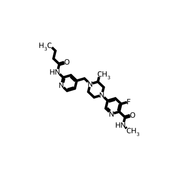 CCCC(=O)Nc1cc(CN2CCN(c3cnc(C(=O)NC)c(F)c3)CC2C)ccn1